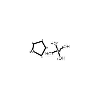 C1CCOC1.O[Si](O)(O)O